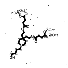 CCCCCCCCOC(CCC(=O)OCCC1(CCOC(=O)CCC(OCCCCCCCC)OCCCCCCCC)CCN(CCCCO)CC1)OCCCCCCCC